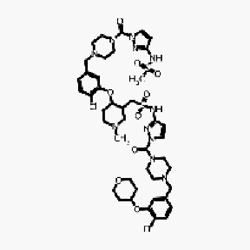 CN1CCC(Oc2cc(CN3CCN(C(=O)n4ccc(NS(C)(=O)=O)n4)CC3)ccc2Cl)C(CS(=O)(=O)Nc2ccn(C(=O)N3CCN(Cc4ccc(Cl)c(OC5CCOCC5)c4)CC3)n2)C1